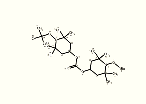 CC(C)(C)ON1C(C)(C)CC(OC(=O)OC2CC(C)(C)N(OC(C)(C)Cl)C(C)(C)C2)CC1(C)C